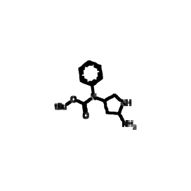 CC(C)(C)OC(=O)N(c1ccccc1)C1CNC(N)C1